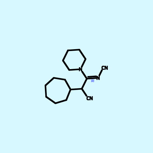 N#C/N=C(/C(C#N)C1CCCCCC1)N1CCCCC1